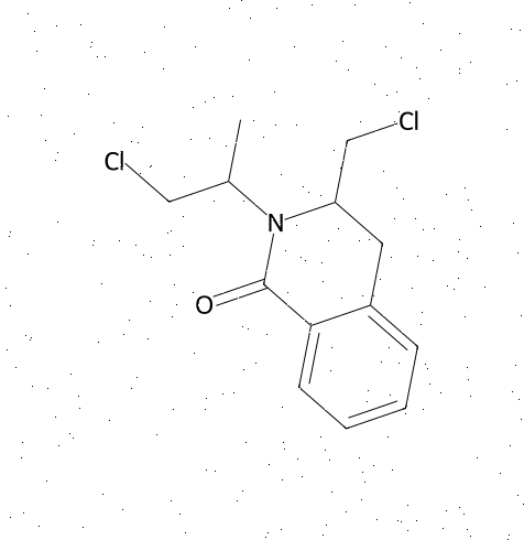 CC(CCl)N1C(=O)c2ccccc2CC1CCl